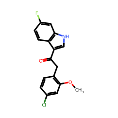 COc1cc(Cl)ccc1CC(=O)c1c[nH]c2cc(F)ccc12